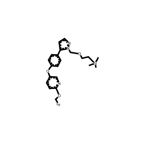 [2H]COc1ccc(Oc2ccc(-c3ccnn3COCC[Si](C)(C)C)cc2)cn1